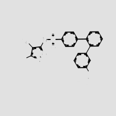 COc1cccc(-c2ccccc2-c2ccc(S(=O)(=O)Nc3onc(C)c3Br)cc2)c1